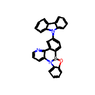 c1ccc2c(c1)OB1c3ccc(-n4c5ccccc5c5ccccc54)cc3-c3ncccc3N12